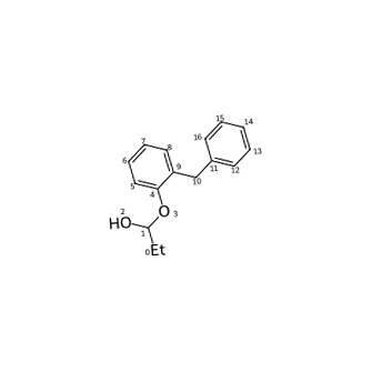 CCC(O)Oc1ccccc1Cc1ccccc1